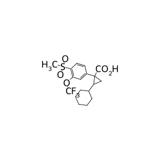 CS(=O)(=O)c1ccc(C2(C(=O)O)CC2C2CCCCC2)cc1OC(F)(F)F